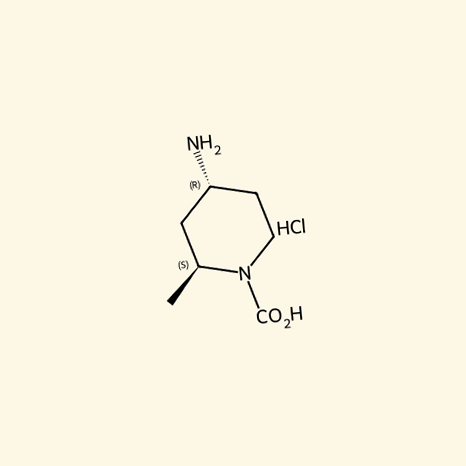 C[C@H]1C[C@H](N)CCN1C(=O)O.Cl